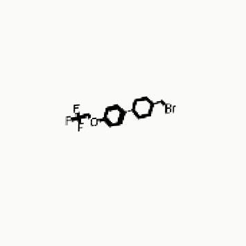 FC(F)(F)COc1ccc([C@H]2CC[C@H](CBr)CC2)cc1